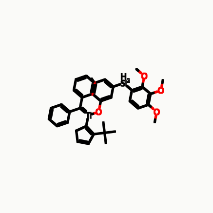 COc1ccc([SiH2]c2cc(C)cc([O][Ti]([C]3=C(C(C)(C)C)C=CC3)=[C](c3ccccc3)c3ccccc3)c2)c(OC)c1OC